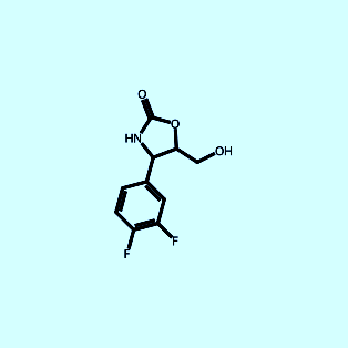 O=C1NC(c2ccc(F)c(F)c2)C(CO)O1